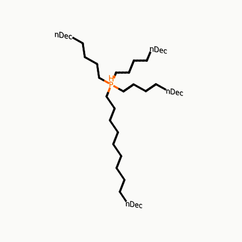 CCCCCCCCCCCCCCCCCCC[PH](CCCCCCCCCCCCCC)(CCCCCCCCCCCCCC)CCCCCCCCCCCCCC